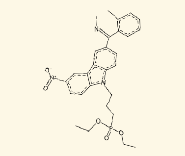 CCOP(=O)(CCCn1c2ccc(C(=NC)c3ccccc3C)cc2c2cc([N+](=O)[O-])ccc21)OCC